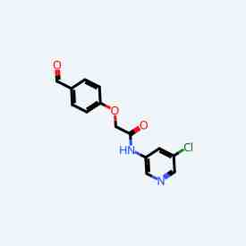 O=Cc1ccc(OCC(=O)Nc2cncc(Cl)c2)cc1